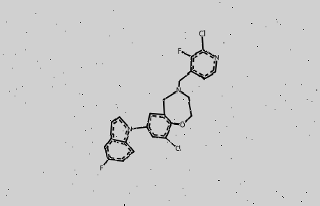 Fc1ccc2c(ccn2-c2cc(Cl)c3c(c2)CN(Cc2ccnc(Cl)c2F)CCO3)c1